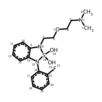 CN(C)CCOCCN1c2ccccc2N(c2ccccc2F)S1(O)O